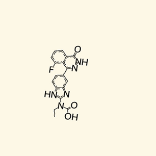 CCN(C(=O)O)c1nc2cc(-c3n[nH]c(=O)c4cccc(F)c34)ccc2[nH]1